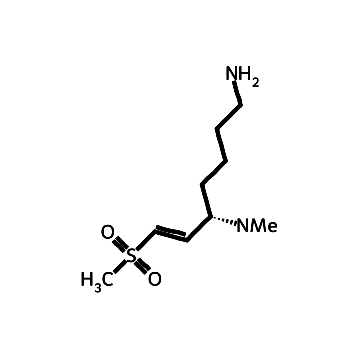 CN[C@H](/C=C/S(C)(=O)=O)CCCCN